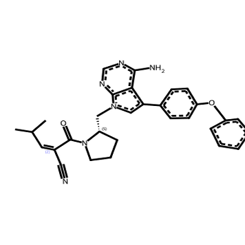 CC(C)/C=C(/C#N)C(=O)N1CCC[C@H]1Cn1cc(-c2ccc(Oc3ccccc3)cc2)c2c(N)ncnc21